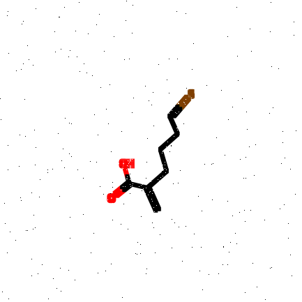 C=C(CCCC=S)C(=O)O